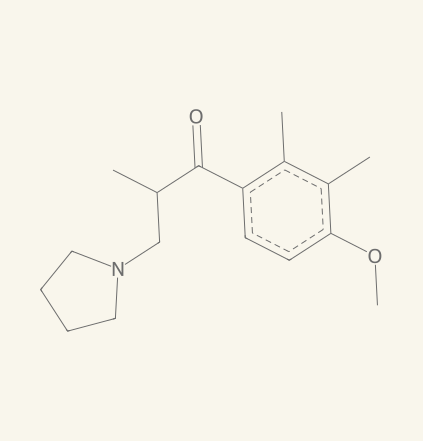 COc1ccc(C(=O)C(C)CN2CCCC2)c(C)c1C